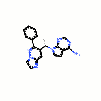 C[C@@H](c1cc2nccn2nc1-c1ccccc1)n1ccc2c(N)ncnc21